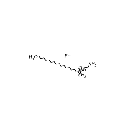 CCCCCCCCCCCCCCCCC[N+](C)(C)CCCN.[Br-]